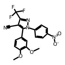 COc1ccc(-c2c(C#N)c(C(F)(F)F)nn2-c2ccc([N+](=O)[O-])cc2)cc1OC